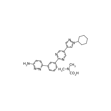 CN(C)C(=O)O.Nc1ccc(-c2cccc(-c3ncc(-c4cnn(C5CCCCC5)c4)cn3)c2)nn1